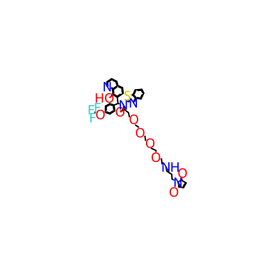 O=C1C=CC(=O)N1CCCNCCOCCOCCOCCOCCC(=O)N(c1nc2ccccc2s1)C(c1ccc(OC(F)(F)F)cc1)c1ccc2cccnc2c1O